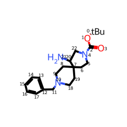 CC(C)(C)OC(=O)N1CCC2(CCN(Cc3ccccc3)CC2)C(N)C1